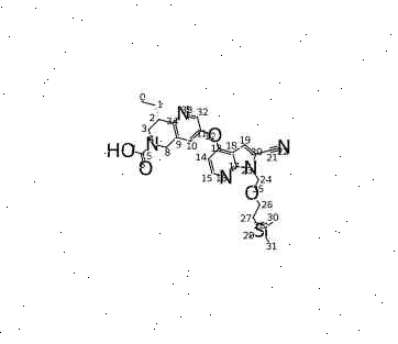 CC[C@H]1CN(C(=O)O)Cc2cc(Oc3ccnc4c3cc(C#N)n4COCC[Si](C)(C)C)cnc21